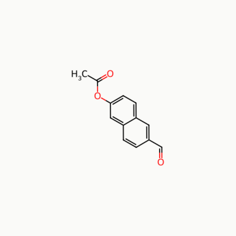 CC(=O)Oc1ccc2cc(C=O)ccc2c1